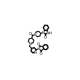 O=C(C1CCN(Cc2ccnc(N3C(=O)c4ccccc4C3=O)c2)CC1)N1CCC(n2c(=O)[nH]c3ccccc32)CC1